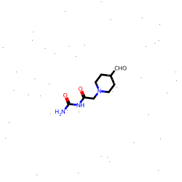 NC(=O)NC(=O)CN1CCC(C=O)CC1